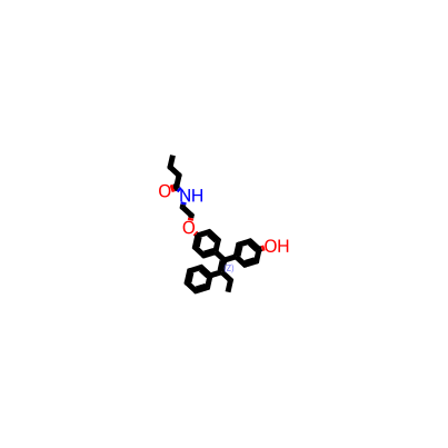 CCCC(=O)NCCOc1ccc(/C(=C(/CC)c2ccccc2)c2ccc(O)cc2)cc1